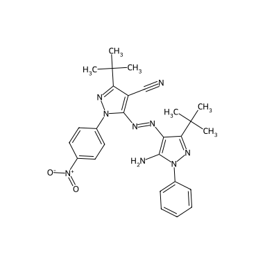 CC(C)(C)c1nn(-c2ccc([N+](=O)[O-])cc2)c(/N=N/c2c(C(C)(C)C)nn(-c3ccccc3)c2N)c1C#N